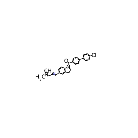 CN(C)C/C=C/c1ccc2c(c1)CCN2C(=O)c1ccc(-c2ccc(Cl)cc2)cc1